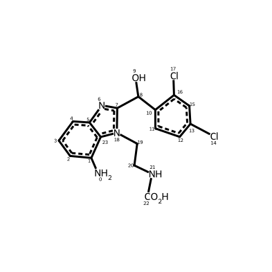 Nc1cccc2nc(C(O)c3ccc(Cl)cc3Cl)n(CCNC(=O)O)c12